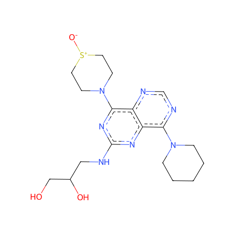 [O-][S+]1CCN(c2nc(NCC(O)CO)nc3c(N4CCCCC4)ncnc23)CC1